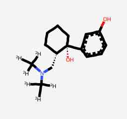 [2H]C([2H])([2H])N(C[C@@H]1CCCC[C@@]1(O)c1cccc(O)c1)C([2H])([2H])[2H]